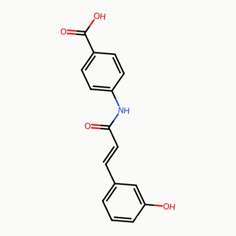 O=C(C=Cc1cccc(O)c1)Nc1ccc(C(=O)O)cc1